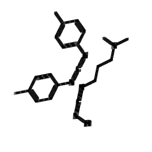 CCN=C=NCCCN(C)C.Cc1ccc(N=C=Nc2ccc(C)cc2)cc1